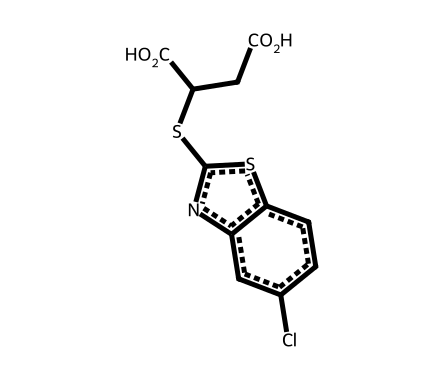 O=C(O)CC(Sc1nc2cc(Cl)ccc2s1)C(=O)O